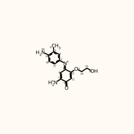 Cc1cc(N=C2C=C(N)C(=O)C=C2OCCO)ccc1N